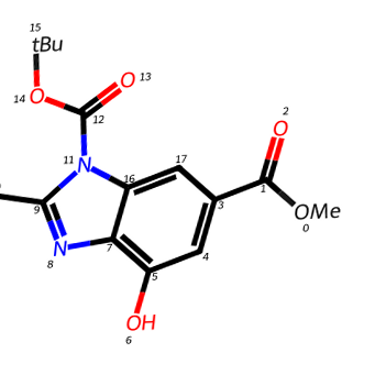 COC(=O)c1cc(O)c2nc(C)n(C(=O)OC(C)(C)C)c2c1